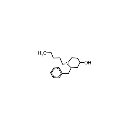 CCCCCN1CCC(O)CC1Cc1ccccc1